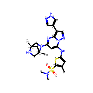 Cc1cc(Nc2cc(N3C[C@@H]4C[C@H]3CN4)nc3c(-c4cn[nH]c4)cnn23)sc1S(=O)(=O)N(C)C